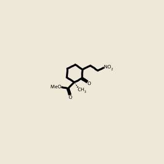 COC(=O)[C@@]1(C)CCCC(CC[N+](=O)[O-])C1=O